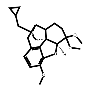 COc1ccc2c3c1O[C@@H]1C(OC)(OC)CCC4C(C2)N(CC2CC2)CC[C@]341